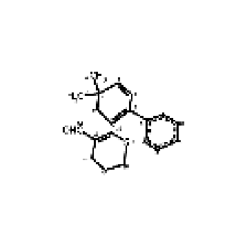 CC1(C)C=CC(c2ccccc2)=CC1.O=CC1=CSCCC1